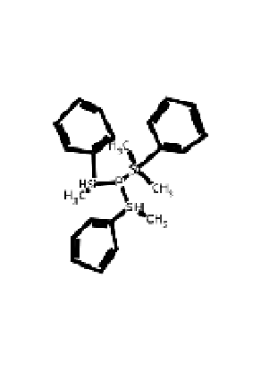 C[SiH](c1ccccc1)P([SiH](C)c1ccccc1)[Si](C)(C)c1ccccc1